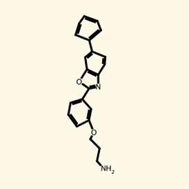 NCCCOc1cccc(-c2nc3ccc(-c4ccccc4)cc3o2)c1